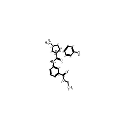 CCOC(=O)c1cccc(NC(=O)[C@H]2CN(C)C[C@@H]2c2ccc(Cl)cc2)c1